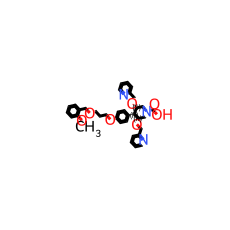 COc1ccccc1COCCCOc1ccc([C@H]2[C@@H](OCc3ccccn3)CN(C(=O)O)C[C@H]2OCc2ccccn2)cc1